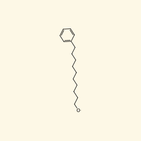 [O]CCCCCCCCCCc1ccccc1